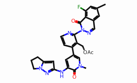 CC(=O)OCc1c(-c2cc(Nc3cc4n(n3)CCC4)c(=O)n(C)c2)ccnc1-n1ncc2cc(C)cc(F)c2c1=O